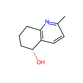 Cc1ccc2c(n1)CCC[C@H]2O